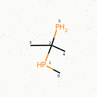 CPC(C)(C)P